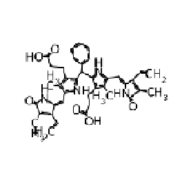 C=CC1=C(C)C(=O)N/C1=C\c1[nH]c(C(c2ccccc2)c2[nH]c(/C=C3\NC(=O)C(C)=C3C=C)c(C)c2CCC(=O)O)c(CCC(=O)O)c1C